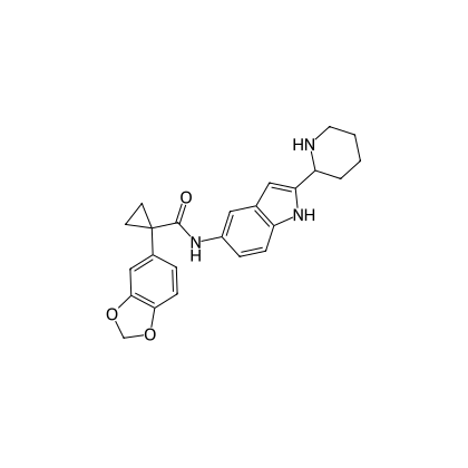 O=C(Nc1ccc2[nH]c(C3CCCCN3)cc2c1)C1(c2ccc3c(c2)OCO3)CC1